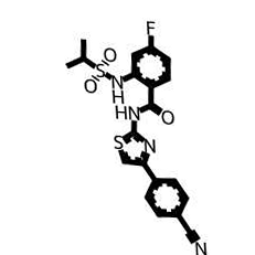 CC(C)S(=O)(=O)Nc1cc(F)ccc1C(=O)Nc1nc(-c2ccc(C#N)cc2)cs1